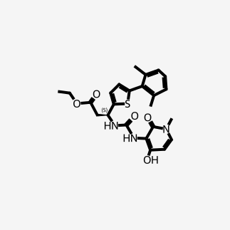 CCOC(=O)C[C@H](NC(=O)Nc1c(O)ccn(C)c1=O)c1ccc(-c2c(C)cccc2C)s1